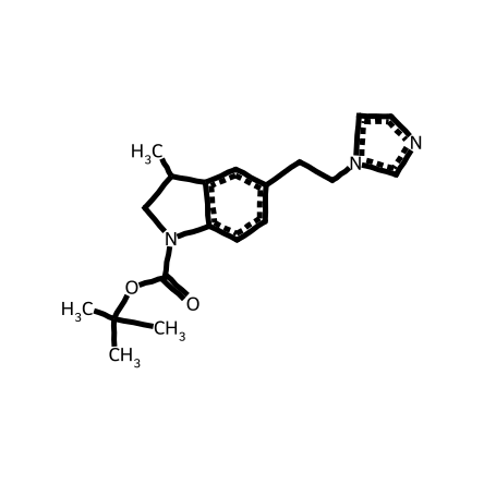 CC1CN(C(=O)OC(C)(C)C)c2ccc(CCn3ccnc3)cc21